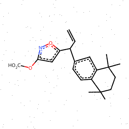 C=CC(c1ccc2c(c1)C(C)(C)CCC2(C)C)c1cc(OC(=O)O)no1